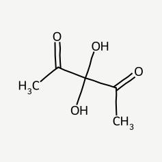 CC(=O)C(O)(O)C(C)=O